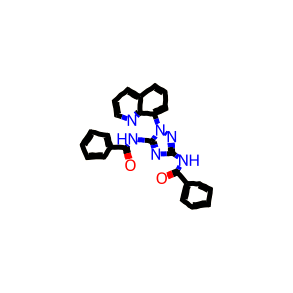 O=C(Nc1nc(NC(=O)c2ccccc2)n(-c2cccc3cccnc23)n1)c1ccccc1